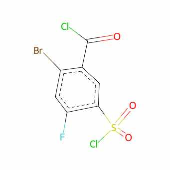 O=C(Cl)c1cc(S(=O)(=O)Cl)c(F)cc1Br